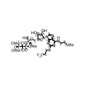 COP(=O)(OC)C(Cl)(Cl)P(=O)(OC)OP(=O)(O)OC[C@H]1O[C@@H](n2cnc3c(NCCSC)nc(SCCC(F)(F)F)nc32)[C@H](O)[C@@H]1O